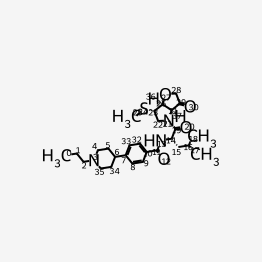 CCCN1CCC(c2ccc(C(=O)N[C@@H](CC(C)C)C(=O)N3C[C@H](SC)[C@H]4OCC(=O)[C@H]43)cc2)CC1